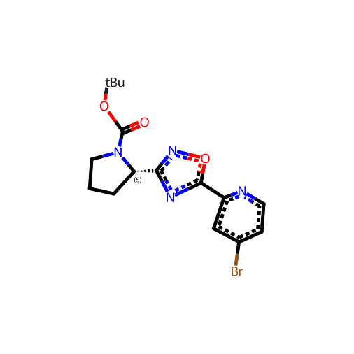 CC(C)(C)OC(=O)N1CCC[C@H]1c1noc(-c2cc(Br)ccn2)n1